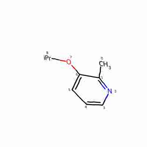 Cc1nc[c]cc1OC(C)C